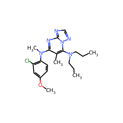 CCCN(CCC)c1c(C)c(N(C)c2ccc(OC)cc2Cl)nc2ncnn12